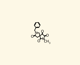 CN1C(=O)C(=O)C2(CC(=O)N(Cc3ccccc3)C2)C1=O